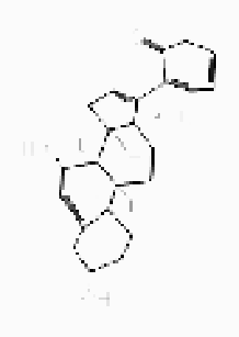 C[C@@H]1C=C2C[C@@H](O)CC[C@]2(C)[C@H]2CC[C@]3(C)C(C4=CC=CCC4=S)=CC[C@H]3[C@H]12